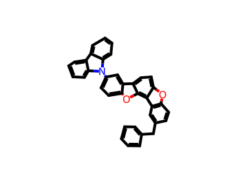 c1ccc(Cc2ccc3oc4ccc5c6cc(-n7c8ccccc8c8ccccc87)ccc6oc5c4c3c2)cc1